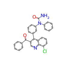 NC(=O)N(c1ccccc1)c1cccc(-c2c(C(=O)c3ccccc3)cnc3c(Cl)cccc23)c1